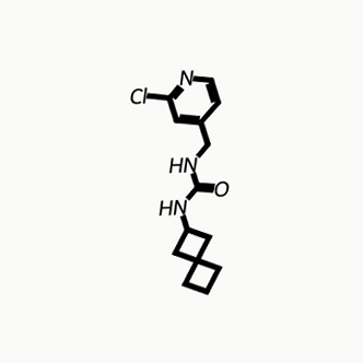 O=C(NCc1ccnc(Cl)c1)NC1CC2(CCC2)C1